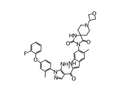 Cc1cc2cc(C(=O)c3cnn(-c4ccc(Oc5ccccc5F)cc4C)c3N)[nH]c2cc1N1C(=O)NC2(CCN(C3COC3)CC2)C1=O